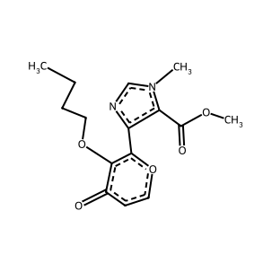 CCCCOc1c(-c2ncn(C)c2C(=O)OC)occc1=O